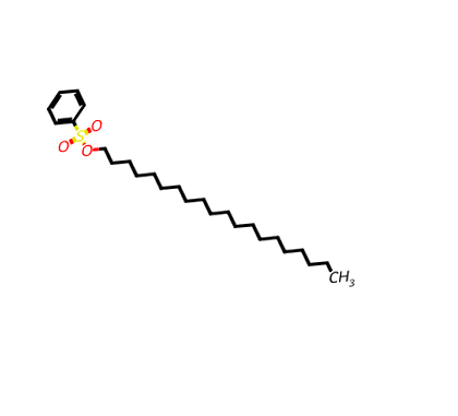 CCCCCCCCCCCCCCCCCCCCOS(=O)(=O)c1ccccc1